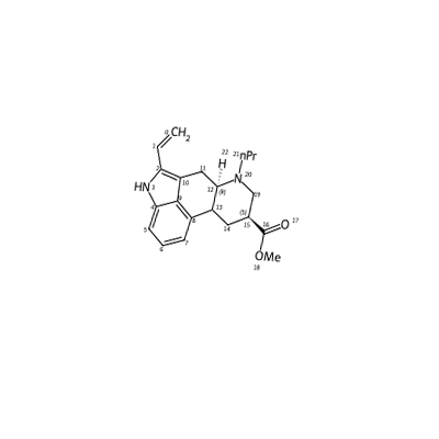 C=Cc1[nH]c2cccc3c2c1C[C@@H]1C3C[C@H](C(=O)OC)CN1CCC